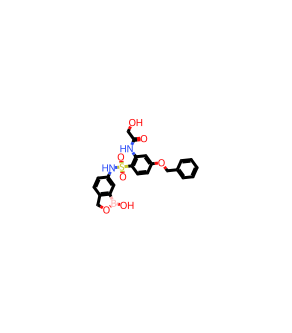 O=C(CO)Nc1cc(OCc2ccccc2)ccc1S(=O)(=O)Nc1ccc2c(c1)B(O)OC2